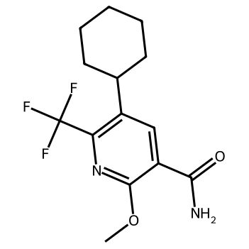 COc1nc(C(F)(F)F)c(C2CCCCC2)cc1C(N)=O